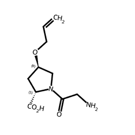 C=CCO[C@@H]1C[C@@H](C(=O)O)N(C(=O)CN)C1